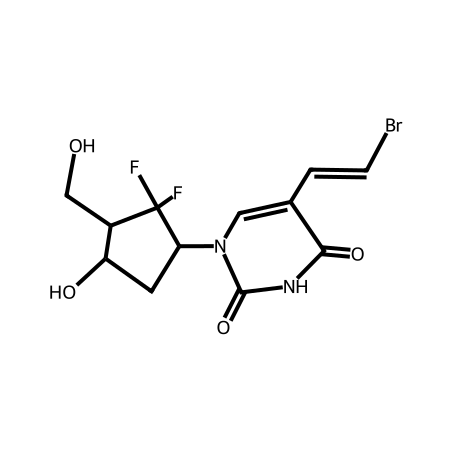 O=c1[nH]c(=O)n(C2CC(O)C(CO)C2(F)F)cc1C=CBr